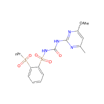 CCCS(=O)(=O)c1ccccc1S(=O)(=O)NC(=O)Nc1nc(C)cc(OC)n1